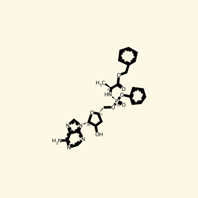 C[C@H](N[P@](=O)(OC[C@@H]1CC(O)[C@H](n2cnc3c(N)ncnc32)O1)Oc1ccccc1)C(=O)OCc1ccccc1